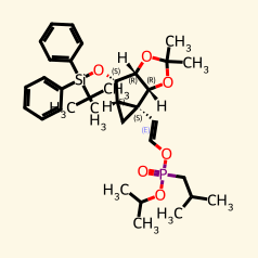 CC(C)CP(=O)(O/C=C/[C@]12C[C@@H]1[C@H](O[Si](c1ccccc1)(c1ccccc1)C(C)(C)C)[C@@H]1OC(C)(C)O[C@@H]12)OC(C)C